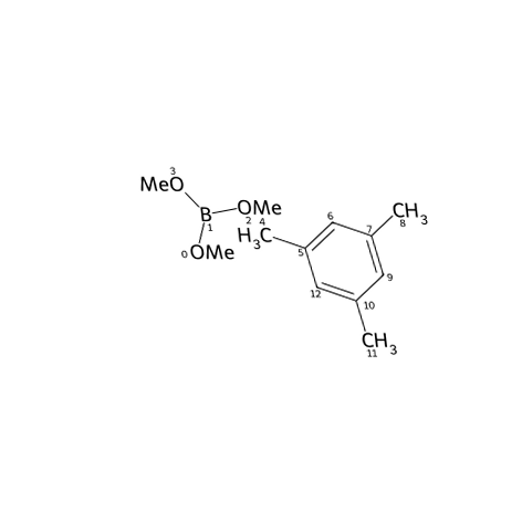 COB(OC)OC.Cc1cc(C)cc(C)c1